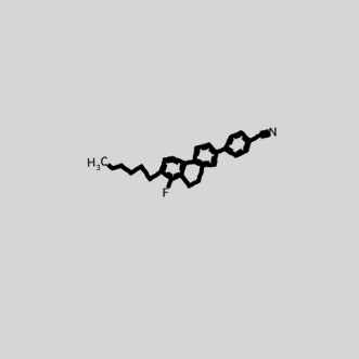 CCCCCCc1ccc2c(c1F)CCc1cc(-c3ccc(C#N)cc3)ccc1-2